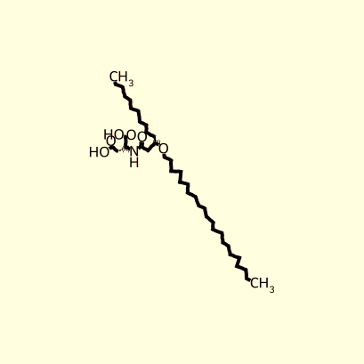 CCCCCCCCCCCCCCCCCCCCCCO[C@H](CCCCCCCCCCC)CC(=O)N[C@H](CC(=O)O)C(=O)O